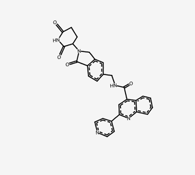 O=C1CCC(N2Cc3cc(CNC(=O)c4cc(-c5ccncc5)nc5ccccc45)ccc3C2=O)C(=O)N1